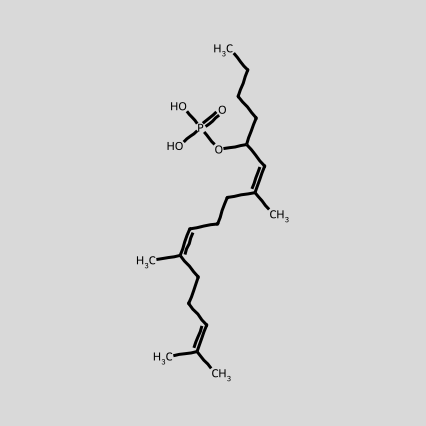 CCCCC(C=C(C)CCC=C(C)CCC=C(C)C)OP(=O)(O)O